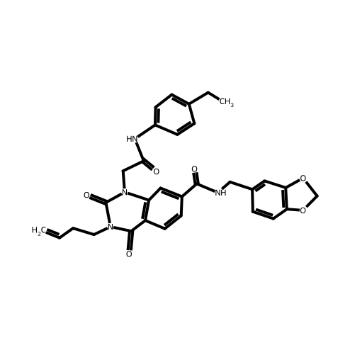 C=CCCn1c(=O)c2ccc(C(=O)NCc3ccc4c(c3)OCO4)cc2n(CC(=O)Nc2ccc(CC)cc2)c1=O